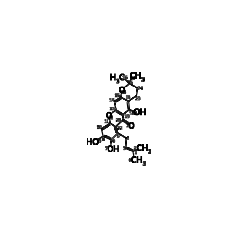 CC(C)=CCc1c(O)c(O)cc2oc3cc4c(c(O)c3c(=O)c12)CCC(C)(C)O4